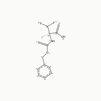 C[C@@](NC(=O)OCc1ccccc1)(C(=O)O)C(F)F